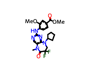 COC(=O)c1ccc(Nc2ncc3c(n2)N(C2CCCC2)CC(F)(F)C(=O)N3C)c(OC)c1